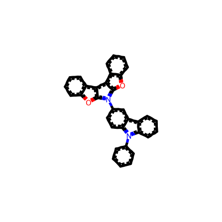 c1ccc(-n2c3ccccc3c3cc(-n4c5oc6ccccc6c5c5c6ccccc6oc54)ccc32)cc1